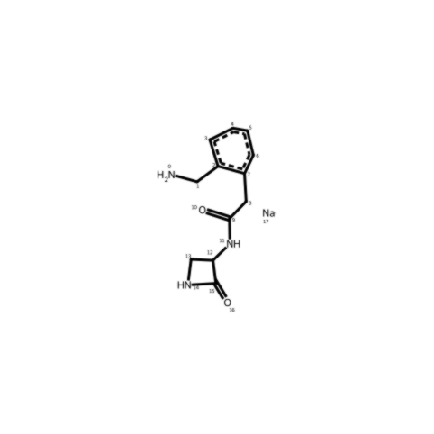 NCc1ccccc1CC(=O)NC1CNC1=O.[Na]